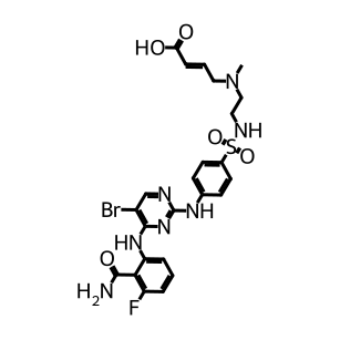 CN(C/C=C/C(=O)O)CCNS(=O)(=O)c1ccc(Nc2ncc(Br)c(Nc3cccc(F)c3C(N)=O)n2)cc1